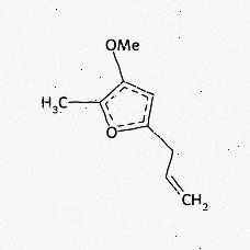 C=CCc1cc(OC)c(C)o1